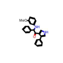 COc1cccc(NC(C(=O)c2c[nH]cc2-c2ccccc2)c2ccccc2)c1